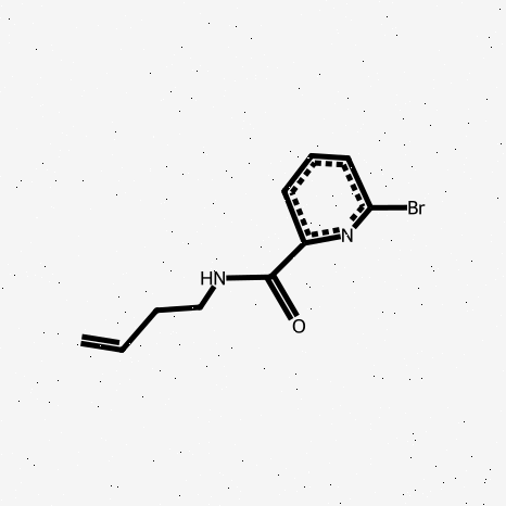 C=CCCNC(=O)c1cccc(Br)n1